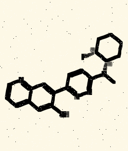 CN(c1ccc(-c2cc3ncccc3cc2O)nn1)[C@H]1CCCC[C@H]1F